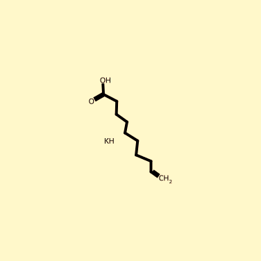 C=CCCCCCCCC(=O)O.[KH]